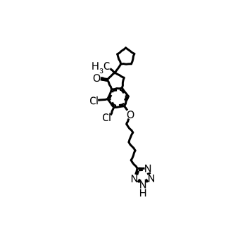 CC1(C2CCCC2)Cc2cc(OCCCCCc3nn[nH]n3)c(Cl)c(Cl)c2C1=O